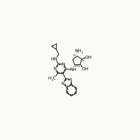 Cc1nc(NCC2CC2)nc(N[C@@H]2C[C@H](N)[C@@H](O)[C@H]2O)c1-c1nc2ccccc2s1